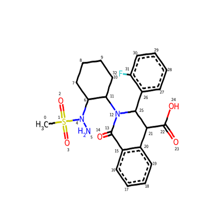 CS(=O)(=O)N(N)C1CCCCC1N1C(=O)c2ccccc2C(C(=O)O)C1c1ccccc1F